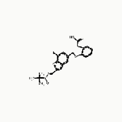 CC(C)(C)[S+]([O-])N=Cc1cc2cc(COc3ccccc3CC(=O)O)cc(I)c2o1